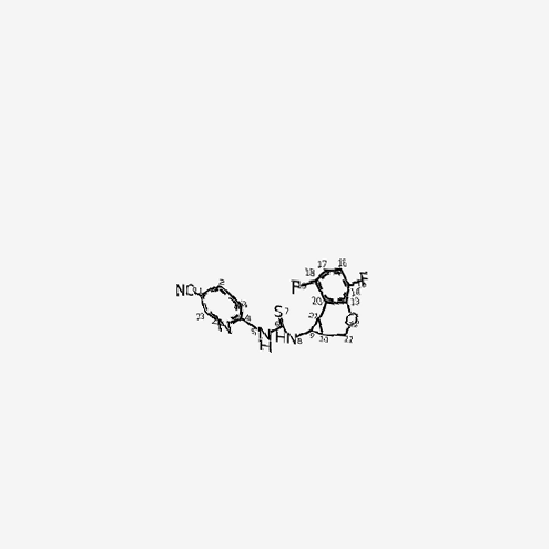 N#Cc1ccc(NC(=S)NC2C3COc4c(F)ccc(F)c4C32)nc1